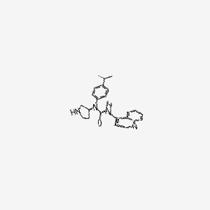 CC(C)c1ccc(N(C(=O)Nc2ccnc3ccccc23)C2CCNC2)cc1